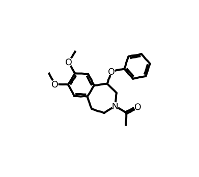 COc1cc2c(cc1OC)C(Oc1ccccc1)CN(C(C)=O)CC2